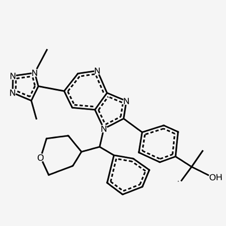 [CH2]C(C)(O)c1ccc(-c2nc3ncc(-c4c(C)nnn4C)cc3n2C(c2ccccc2)C2CCOCC2)cc1